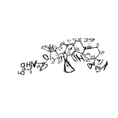 COC(=O)CNC(=O)O[C@H]1CC[C@]2(C)[C@H]3C(=O)C=C4[C@@H]5C[C@@](C)(C(=O)O)CC[C@]5(C)CC[C@@]4(C)[C@]3(C)CC[C@H]2C1(C)C